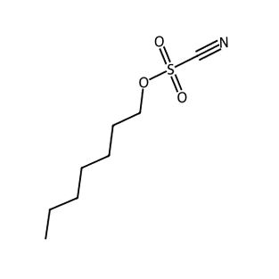 CCCCCCCOS(=O)(=O)C#N